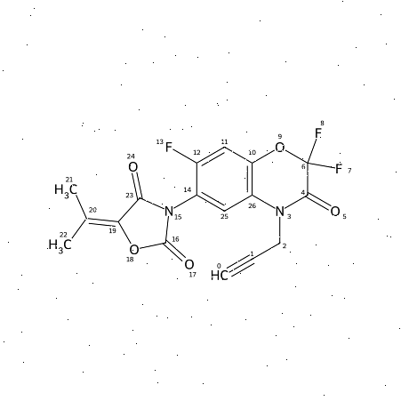 C#CCN1C(=O)C(F)(F)Oc2cc(F)c(N3C(=O)OC(=C(C)C)C3=O)cc21